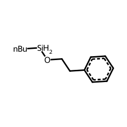 CCCC[SiH2]OCCc1ccccc1